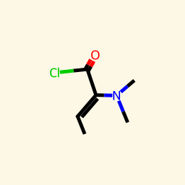 CC=C(C(=O)Cl)N(C)C